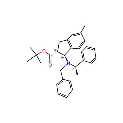 Cc1ccc2c(c1)C[C@@H](C(=O)OC(C)(C)C)[C@@H]2N(Cc1ccccc1)[C@H](C)c1ccccc1